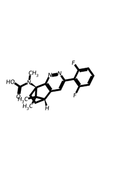 CN(C(=O)O)[C@@]12CC[C@@H](c3cc(-c4c(F)cccc4F)nnc31)C2(C)C